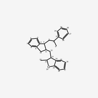 CC(CC1c2ccccc2CC1CC1c2ccccc2OC1C)c1ccccc1